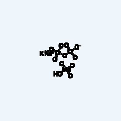 [K+].[Na+].[O]=[Cr](=[O])([O-])[O][Cr](=[O])(=[O])[O-].[O]=[Mn](=[O])(=[O])[OH]